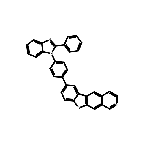 c1ccc(-c2nc3ccccc3n2-c2ccc(-c3ccc4oc5cc6cnccc6cc5c4c3)cc2)cc1